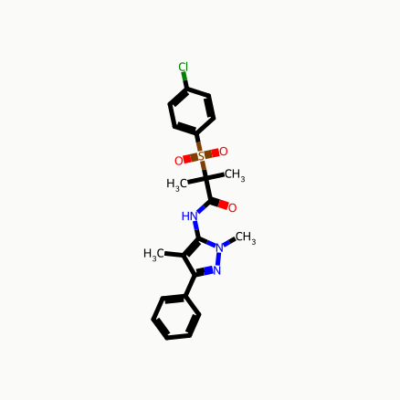 Cc1c(-c2ccccc2)nn(C)c1NC(=O)C(C)(C)S(=O)(=O)c1ccc(Cl)cc1